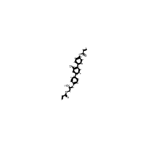 C=CC(=O)OCC(O)Oc1ccc(-c2ccc(-c3ccc(OC(=O)C=C)cc3)c(CC)c2)cc1